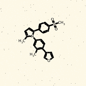 Cc1cc(-n2c(C)ccc2-c2ccc(S(C)(=O)=O)cc2)ccc1-c1ccoc1